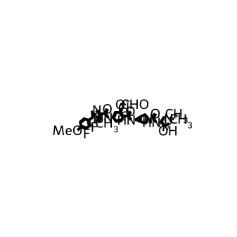 COc1ccc(-c2cnc(C(=O)Nc3ccc(C(=O)NC4C5CN(C(=O)N[C@@H]6C[N+](C)(C)C[C@H]6O)CC54)c(Cl)c3)n2C)c(F)c1F.O=C[O-]